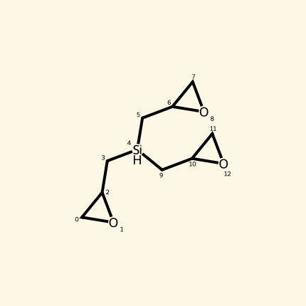 C1OC1C[SiH](CC1CO1)CC1CO1